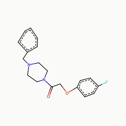 O=C(COc1ccc(F)cc1)N1CCN(Cc2ccccc2)CC1